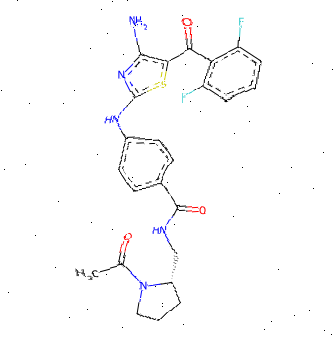 CC(=O)N1CCC[C@H]1CNC(=O)c1ccc(Nc2nc(N)c(C(=O)c3c(F)cccc3F)s2)cc1